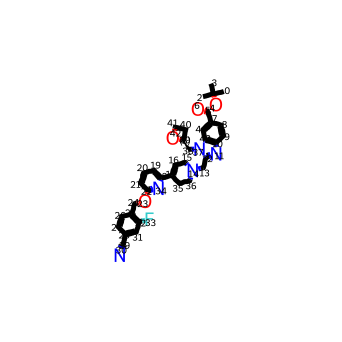 CC(C)(C)OC(=O)c1ccc2nc(CN3CC=C(c4cccc(OCc5ccc(C#N)cc5F)n4)CC3)n(C[C@@H]3CCO3)c2c1